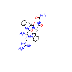 N=C(N)NCCC[C@H](N)C(=O)N[C@@H](Cc1ccccc1)C(=O)N[C@@H](Cc1c[nH]c2ccccc12)C(=O)NCC(N)=O